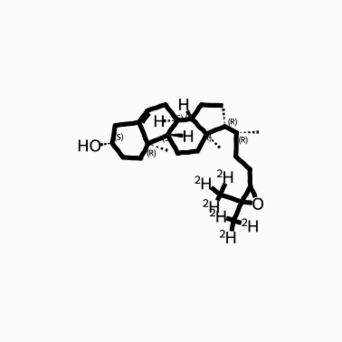 [2H]C([2H])([2H])C1(C([2H])([2H])[2H])OC1CC[C@@H](C)[C@H]1CC[C@H]2[C@@H]3CC=C4C[C@@H](O)CC[C@]4(C)[C@H]3CC[C@]12C